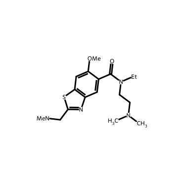 CCN(CCN(C)C)C(=O)c1cc2nc(CNC)sc2cc1OC